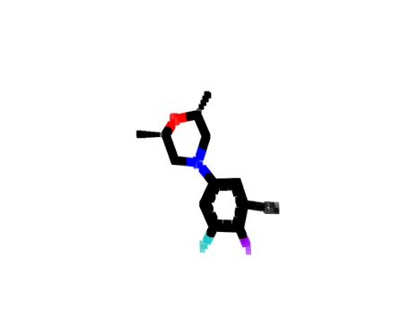 C[C@@H]1CN(c2cc(F)c(I)c(C#N)c2)C[C@H](C)O1